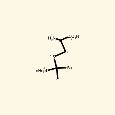 CCCCCCCC(C)(CCCC)SCC(N)C(=O)O